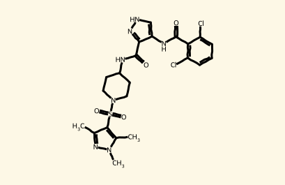 Cc1nn(C)c(C)c1S(=O)(=O)N1CCC(NC(=O)c2n[nH]cc2NC(=O)c2c(Cl)cccc2Cl)CC1